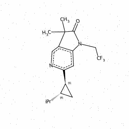 CC(C)[C@H]1C[C@@H]1c1cc2c(cn1)C(C)(C)C(=O)N2CC(F)(F)F